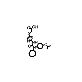 CC(C)OC1CCC(N(C(=O)Nc2ncc(SCC(=O)O)s2)C2CCCCCC2)CC1